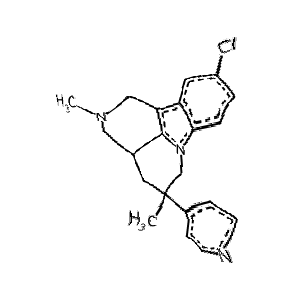 CN1Cc2c3n(c4ccc(Cl)cc24)CC(C)(c2ccncc2)CC3C1